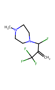 C=C(C(F)N1CCN(C)CC1)C(F)(F)F